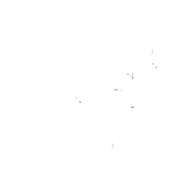 C[C@@H]1C(=O)NN=C2COc3cc(-c4ccccc4F)c(N(C)[C@@]4(C)CCN(C)C4)cc3N21